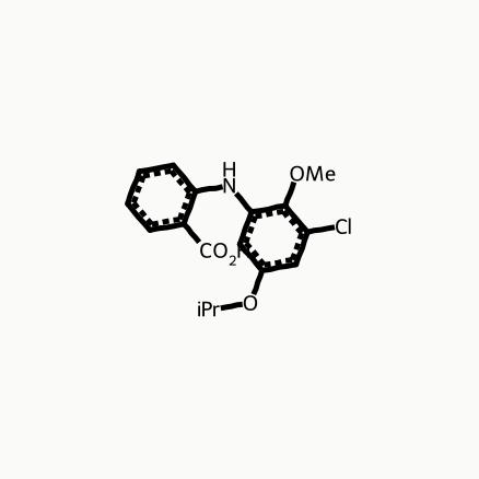 COc1c(Cl)cc(OC(C)C)cc1Nc1ccccc1C(=O)O